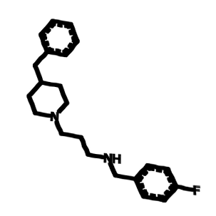 Fc1ccc(CNCCCN2CCC(Cc3ccccc3)CC2)cc1